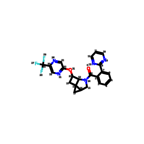 O=C(c1ccccc1-c1ncccn1)N1CC2CC23CC(Oc2cnc(C(F)(F)F)cn2)C13